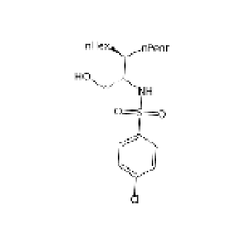 CCCCCC[C@@H](CCCCC)[C@@H](CO)NS(=O)(=O)c1ccc(Cl)cc1